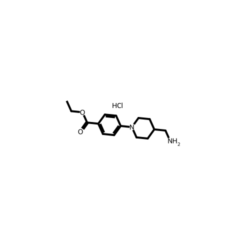 CCOC(=O)c1ccc(N2CCC(CN)CC2)cc1.Cl